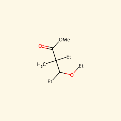 CCOC(CC)C(C)(CC)C(=O)OC